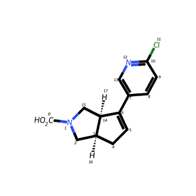 O=C(O)N1C[C@@H]2CC=C(c3ccc(Cl)nc3)[C@@H]2C1